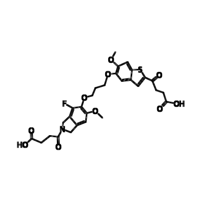 COc1cc2sc(C(=O)CCC(=O)O)cc2cc1OCCCOc1c(OC)cc2c(c1F)CN(C(=O)CCC(=O)O)C2